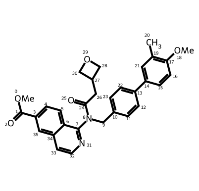 COC(=O)c1ccc2c(N(Cc3ccc(-c4ccc(OC)c(C)c4)cc3)C(=O)CC3COC3)nccc2c1